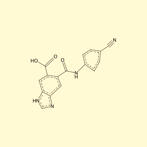 N#Cc1ccc(NC(=O)c2cc3nc[nH]c3cc2C(=O)O)cc1